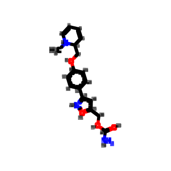 CN1C=CC=CC1COc1ccc(-c2cc(COC(N)=O)on2)cc1